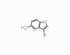 Cc1ccc2occ(Br)c2c1